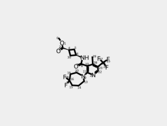 COC(=O)[C@H]1C[C@@H](NC(=O)c2c(N3CCCC(F)(F)CC3)ncc(C(F)(F)F)c2C)C1